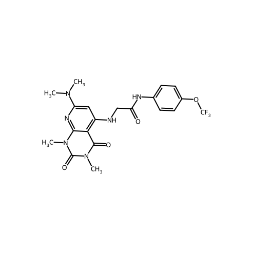 CN(C)c1cc(NCC(=O)Nc2ccc(OC(F)(F)F)cc2)c2c(=O)n(C)c(=O)n(C)c2n1